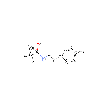 CCCCC(C)(C)C(=O)NCCc1ccc(CC)cc1